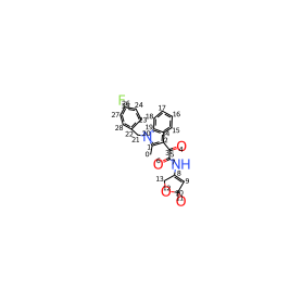 Cc1c(C(=O)C(=O)NC2=CC(=O)OC2)c2ccccc2n1Cc1ccc(F)cc1